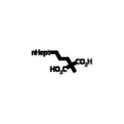 CCCCCCCCCCC(C)(C(=O)O)C(=O)O